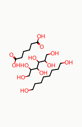 O=C(O)CCCCC(=O)O.OCC(O)C(O)C(O)C(O)CO.OCCCCCCCCO